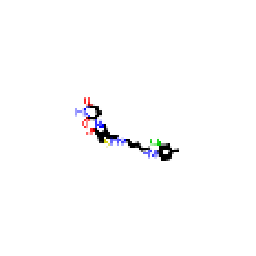 Cc1ccc(NCCCCCNCc2scc3c2CN(C2CCC(=O)NC2=O)C3=O)c(Cl)c1